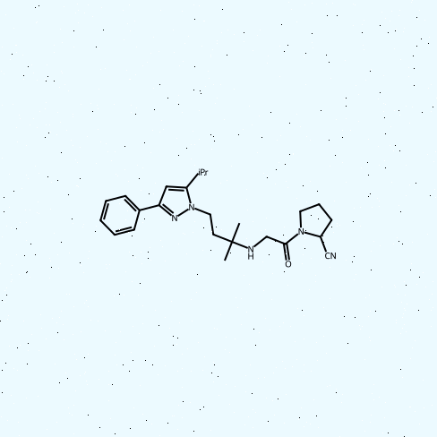 CC(C)c1cc(-c2ccccc2)nn1CCC(C)(C)NCC(=O)N1CCCC1C#N